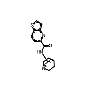 O=C(NC1CC2CCN(CC2)C1)c1ccc2sccc2n1